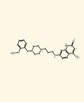 COc1ccccc1CN1CCN(CCCOc2ccc3c(C)cc(=O)[nH]c3c2)CC1